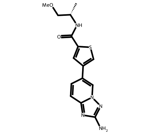 COC[C@H](C)NC(=O)c1cc(-c2ccc3nc(N)nn3c2)cs1